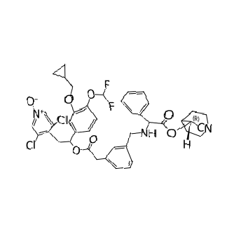 O=C(Cc1cccc(CNC(C(=O)O[C@H]2CN3CCC2CC3)c2ccccc2)c1)OC(Cc1c(Cl)c[n+]([O-])cc1Cl)c1ccc(OC(F)F)c(OCC2CC2)c1